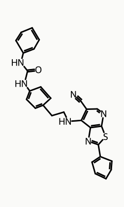 N#Cc1cnc2sc(-c3ccccc3)nc2c1NCCc1ccc(NC(=O)Nc2ccccc2)cc1